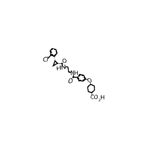 O=C(NCCNC(=O)[C@H]1C[C@@H]1c1ccccc1Cl)c1ccc(O[C@H]2CC[C@@H](C(=O)O)CC2)cc1